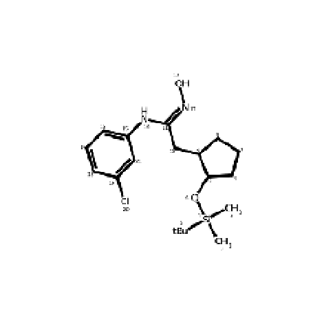 CC(C)(C)[Si](C)(C)OC1CCCC1C/C(=N/O)Nc1cccc(Cl)c1